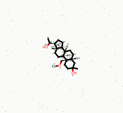 CCOC[C@]12CCC(C)(O)C[C@H]1CC[C@H]1[C@@H]3CC[C@H](C(C)O)[C@@]3(C)CC[C@@H]12